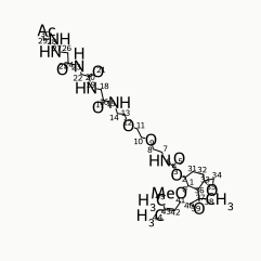 COC1C(OC(=O)NCCOCCOCCNC(=O)CNC(=O)CNC(=O)CNNCC(C)=O)CC[C@]2(CO2)C1C1(C)O[C@@H]1CC=C(C)C